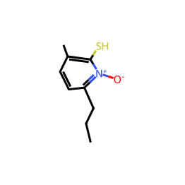 CCCc1ccc(C)c(S)[n+]1[O-]